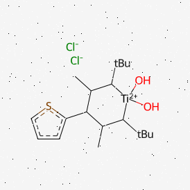 CC1C(c2cccs2)C(C)[CH](C(C)(C)C)[Ti+2]([OH])([OH])[CH]1C(C)(C)C.[Cl-].[Cl-]